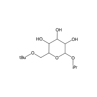 CC(C)OC1OC(COC(C)(C)C)C(O)C(O)C1O